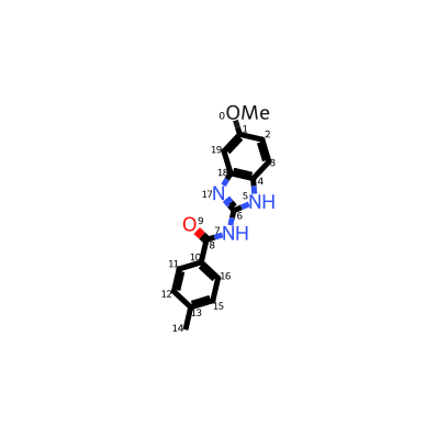 COc1ccc2[nH]c(NC(=O)c3ccc(C)cc3)nc2c1